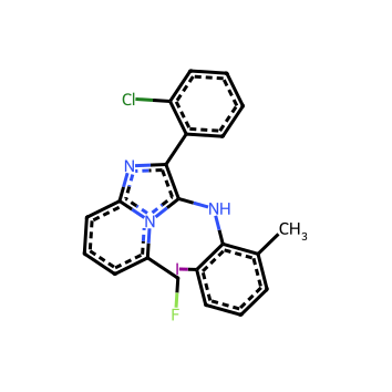 Cc1cccc(I)c1Nc1c(-c2ccccc2Cl)nc2cccc(CF)n12